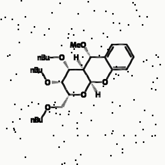 CCCCOC[C@H]1O[C@@H]2Oc3ccccc3[C@@H](OC)[C@@H]2[C@@H](OCCCC)[C@H]1OCCCC